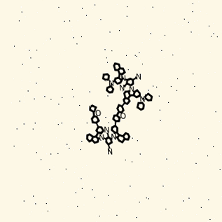 N#Cc1cc(-n2c3ccc(-c4ccc5c(c4)oc4ccccc45)cc3c3c4ccccc4ccc32)c(C#N)c(-n2c3ccc(-c4ccc5c(c4)oc4cc(-c6ccc7c(ccc8c7c7cc(N(c9ccccc9)c9ccccc9)ccc7n8-c7cc(C#N)cc(-n8c9ccc(N(c%10ccccc%10)c%10ccccc%10)cc9c9c%10ccccc%10ccc98)c7C#N)c6)ccc45)cc3c3c4ccccc4ccc32)c1